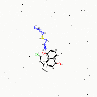 CCCCCCl.O=C1C=CC=C2C(=O)C=CC=C12.[N-]=[N+]=NSN=[N+]=[N-]